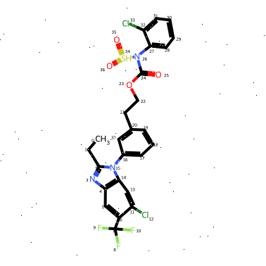 CCc1nc2cc(C(F)(F)F)c(Cl)cc2n1-c1cccc(CCOC(=O)N(c2ccccc2Cl)[SH](=O)=O)c1